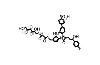 O=C(CC(=O)NC[C@H](O)[C@@H](O)[C@H](O)[C@H](O)CO)NCc1ccc(N2C(=O)[C@H](CC[C@H](O)c3ccc(F)cc3)[C@H]2c2ccc(-c3ccc(S(=O)(=O)O)cc3)cc2O)cc1